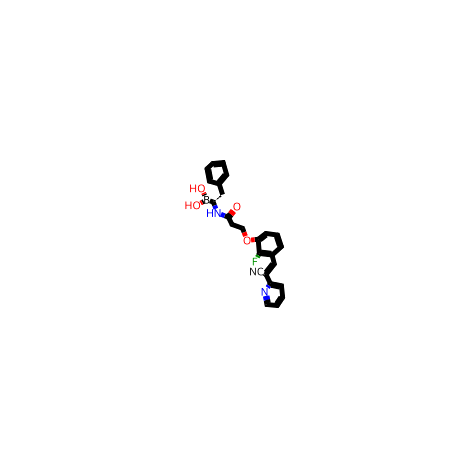 N#CC(=Cc1cccc(OCCC(=O)N[C@@H](Cc2ccccc2)B(O)O)c1F)c1ccccn1